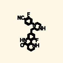 N#Cc1ccc(N2CCNCC2Cc2cc(F)c3c4c(c(=O)[nH]c3c2)CCCN4)cc1F